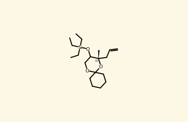 C=CC[C@]1(C)OC2(CCCCC2)OCC1O[Si](CC)(CC)CC